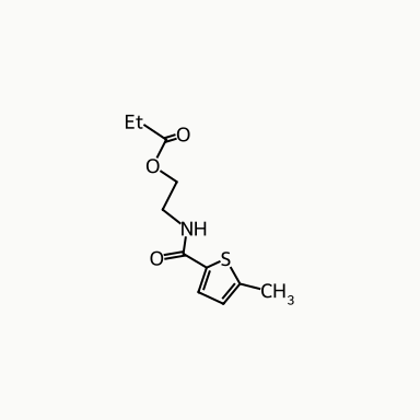 CCC(=O)OCCNC(=O)c1ccc(C)s1